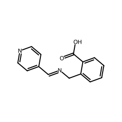 O=C(O)c1ccccc1CN=Cc1ccncc1